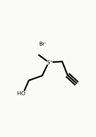 C#CC[S+](C)CCO.[Br-]